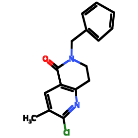 Cc1cc2c(nc1Cl)CCN(Cc1ccccc1)C2=O